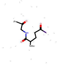 CNC(CCC(=O)I)C(=O)NCC(=O)C(C)C